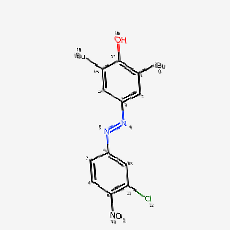 CCC(C)c1cc(N=Nc2ccc([N+](=O)[O-])c(Cl)c2)cc(C(C)CC)c1O